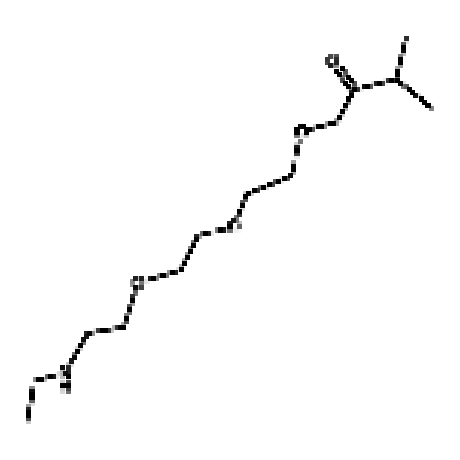 CCNCCOCCOCCOCC(=O)C(C)C